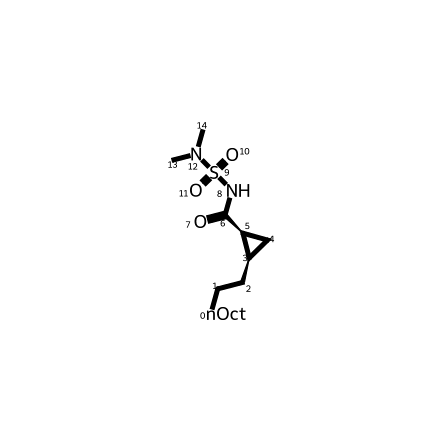 CCCCCCCCCC[C@@H]1C[C@@H]1C(=O)NS(=O)(=O)N(C)C